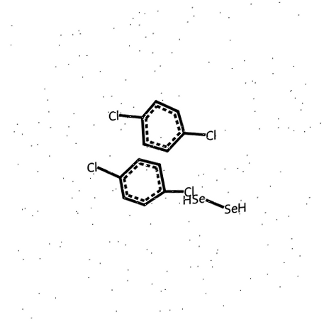 Clc1ccc(Cl)cc1.Clc1ccc(Cl)cc1.[SeH][SeH]